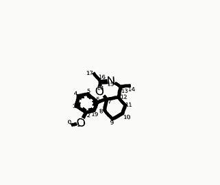 COc1cccc(C23CCCCC2C(C)N=C(C)O3)c1